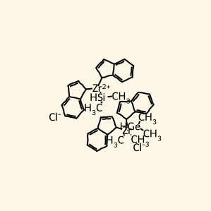 C[SiH](C)[Zr+2]([CH]1C=Cc2ccccc21)[CH]1C=Cc2ccccc21.[CH3][GeH]([CH3])[Zr]([CH3])([CH3])([CH]1C=Cc2ccccc21)[CH]1C=Cc2ccccc21.[Cl-].[Cl-]